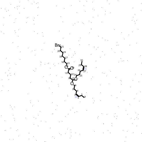 CC/C=C\CCCOC(CCCC(=O)OCCCCCCCBr)OCCC/C=C\CC